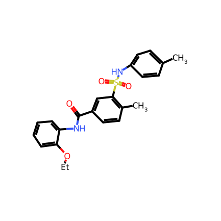 CCOc1ccccc1NC(=O)c1ccc(C)c(S(=O)(=O)Nc2ccc(C)cc2)c1